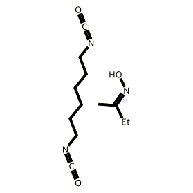 CC/C(C)=N/O.O=C=NCCCCCCN=C=O